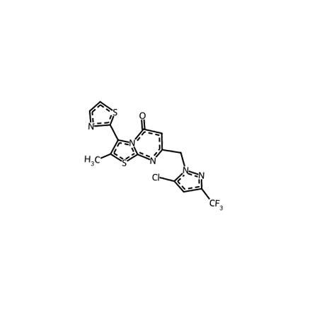 Cc1sc2nc(Cn3nc(C(F)(F)F)cc3Cl)cc(=O)n2c1-c1nccs1